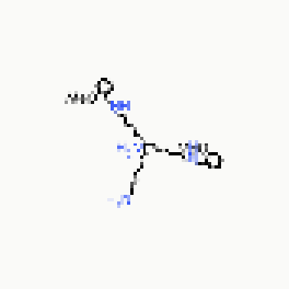 COc1ccccc1CNCCCCCCC(N)(CCCCCCCN)CCCCCCNCc1ccccc1OC